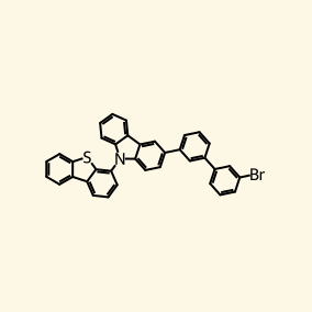 Brc1cccc(-c2cccc(-c3ccc4c(c3)c3ccccc3n4-c3cccc4c3sc3ccccc34)c2)c1